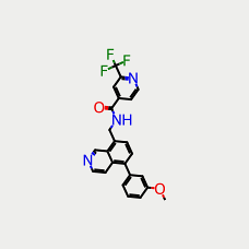 COc1cccc(-c2ccc(CNC(=O)c3ccnc(C(F)(F)F)c3)c3cnccc23)c1